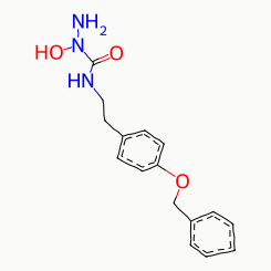 NN(O)C(=O)NCCc1ccc(OCc2ccccc2)cc1